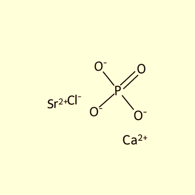 O=P([O-])([O-])[O-].[Ca+2].[Cl-].[Sr+2]